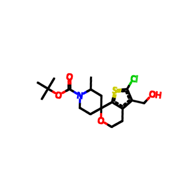 CC1CC2(CCN1C(=O)OC(C)(C)C)OCCc1c2sc(Cl)c1CO